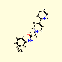 O=C(CN1CC=C(C2=NC=CCC2)CC1)Nc1cccc([N+](=O)[O-])c1